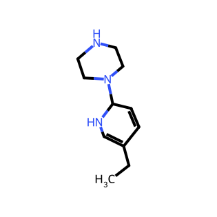 CCC1=CNC(N2CCNCC2)C=C1